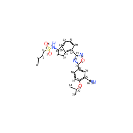 CCCCS(=O)(=O)N[C@@H]1CCc2c(-c3noc(-c4ccc(OC(C)C)c(C#N)c4)n3)cccc21